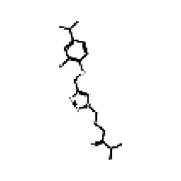 CC(C)C(=O)CCCn1cc(COc2ccc(C(C)C)cc2F)nn1